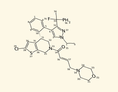 CCn1cc(-c2ccccc2[C@@H]2CN(C(=O)/C=C/CN3CCOCC3)Cc3sc(Cl)cc32)c(C(C)(F)P)n1